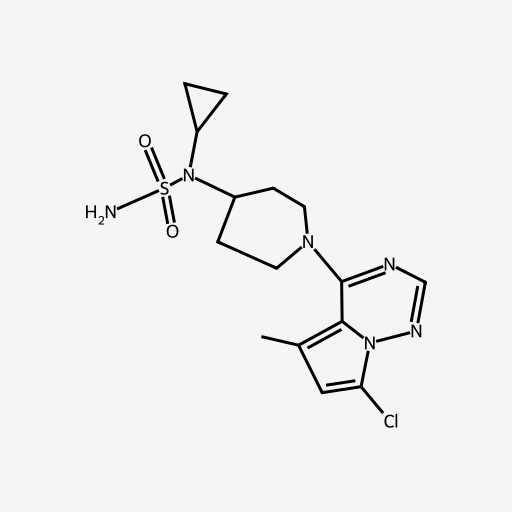 Cc1cc(Cl)n2ncnc(N3CCC(N(C4CC4)S(N)(=O)=O)CC3)c12